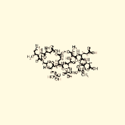 CC[C@H](C)[C@H](NC(=O)[C@@H](N)CC(=O)O)C(=O)NCC(=O)N[C@@H](COP(=O)(O)O)C(=O)N[C@@H](CCC(=O)O)C(=O)N[C@@H](COP(=O)(O)O)C(=O)N[C@H](C(=O)N[C@@H](CCC(=O)O)C(=O)N[C@@H](CC(=O)O)C(=O)N[C@@H](C)C(=O)O)[C@@H](C)O